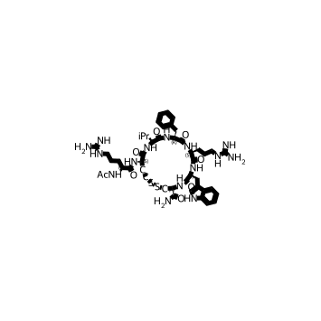 CC(=O)N[C@@H](CCCNC(=N)N)C(=O)N[C@H]1CCSSC[C@@H](C(N)=O)NC(=O)[C@H](Cc2c[nH]c3ccccc23)NC(=O)[C@H](CCCNC(=N)N)NC(=O)[C@@H](Cc2ccccc2)NC(=O)[C@H](C(C)C)NC1=O